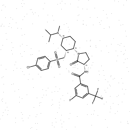 CC(C)N(C)[C@@H]1CC[C@H](N2CC[C@H](NC(=O)c3cc(F)cc(C(F)(F)F)c3)C2=O)[C@H](CS(=O)(=O)c2ccc(Cl)cc2)C1